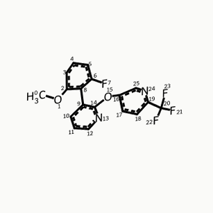 COc1cccc(F)c1-c1cccnc1Oc1ccc(C(F)(F)F)nc1